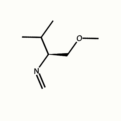 C=N[C@H](COC)C(C)C